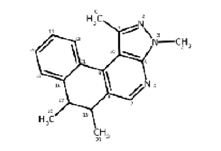 Cc1nn(C)c2ncc3c(c12)-c1ccccc1C(C)C3C